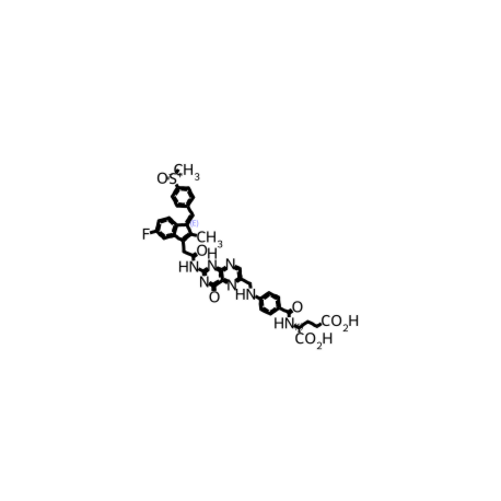 CC1=C(CC(=O)Nc2nc(=O)c3nc(CNc4ccc(C(=O)N[C@@H](CCC(=O)O)C(=O)O)cc4)cnc3[nH]2)c2cc(F)ccc2/C1=C\c1ccc([S+](C)[O-])cc1